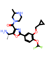 CC1CN(C(=O)c2nc(-c3ccc(OC(F)F)c(OCC4CC4)c3)oc2[C@H](C)N)CCN1